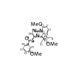 COC1=CC=CC23C=C(C)C(OC)C(C)=C2n2c(SC(=O)c4cccc(OC)c4)cnc2N13